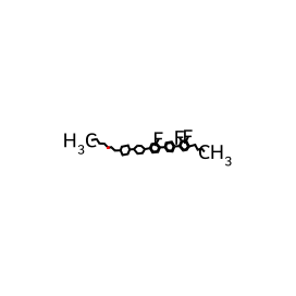 CCCCCCCC1CCC(C2CCC(c3ccc(-c4ccc(-c5ccc(CCCC)c(F)c5F)cc4)c(F)c3)CC2)CC1